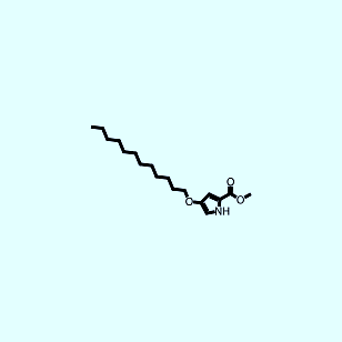 CCCCCCCCCCCCOc1c[nH]c(C(=O)OC)c1